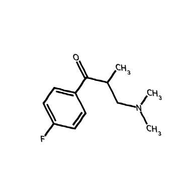 CC(CN(C)C)C(=O)c1ccc(F)cc1